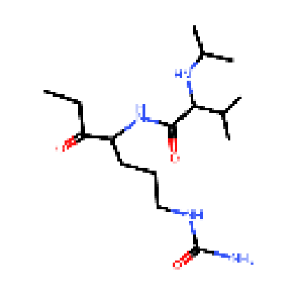 CCC(=O)C(CCCNC(N)=O)NC(=O)C(NC(C)C)C(C)C